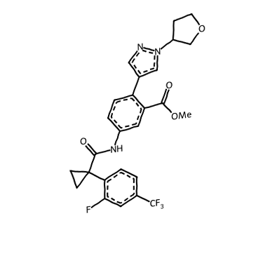 COC(=O)c1cc(NC(=O)C2(c3ccc(C(F)(F)F)cc3F)CC2)ccc1-c1cnn(C2CCOC2)c1